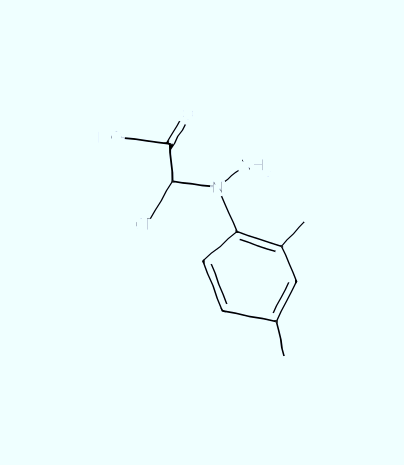 Cc1ccc(N(N)C(Cl)C(=O)O)c(C)c1